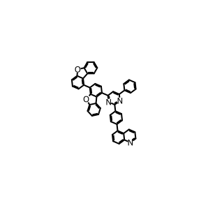 c1ccc(-c2cc(-c3ccc(-c4cccc5oc6ccccc6c45)c4oc5ccccc5c34)nc(-c3ccc(-c4cccc5ncccc45)cc3)n2)cc1